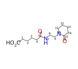 O=C(O)CCCCC(=O)NCCN1CCCCC1=O